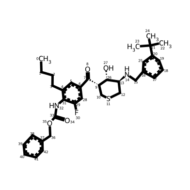 CCCCc1cc(C(=O)[C@H]2CSC[C@H](NCc3cccc(C(C)(C)C)c3)[C@H]2O)cc(F)c1NC(=O)OCc1ccccc1